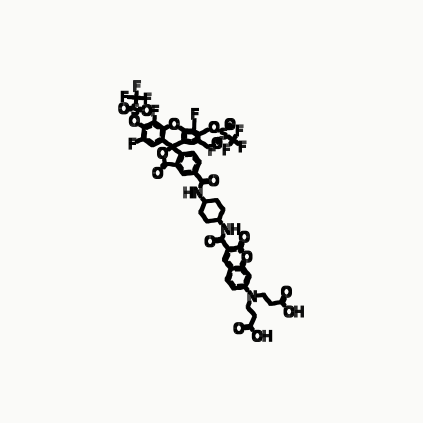 O=C(O)CCN(CCC(=O)O)c1ccc2cc(C(=O)NC3CCC(NC(=O)c4ccc5c(c4)C(=O)OC54c5cc(F)c(OS(=O)(=O)C(F)(F)F)c(F)c5Oc5c4cc(F)c(OS(=O)(=O)C(F)(F)F)c5F)CC3)c(=O)oc2c1